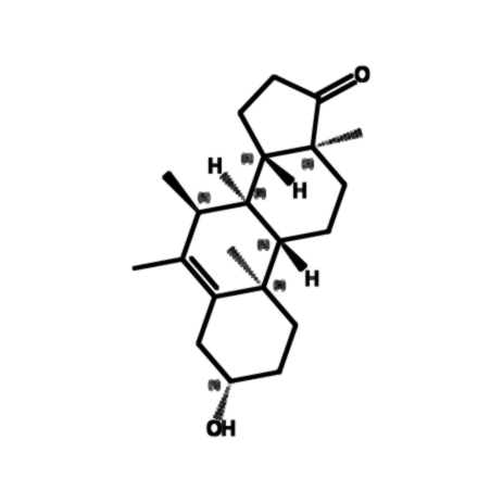 CC1=C2C[C@@H](O)CC[C@]2(C)[C@H]2CC[C@]3(C)C(=O)CC[C@H]3[C@@H]2[C@@H]1C